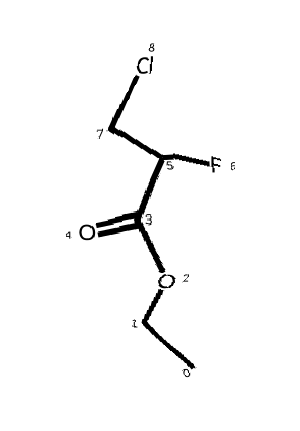 CCOC(=O)C(F)CCl